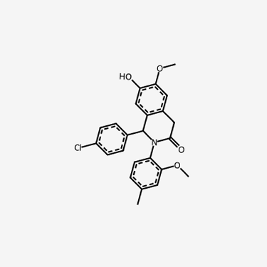 COc1cc2c(cc1O)C(c1ccc(Cl)cc1)N(c1ccc(C)cc1OC)C(=O)C2